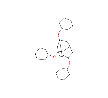 C1CCC(OC23CC4CC(OC5CCCCC5)(C2)CC(OC2CCCCC2)(C4)C3)CC1